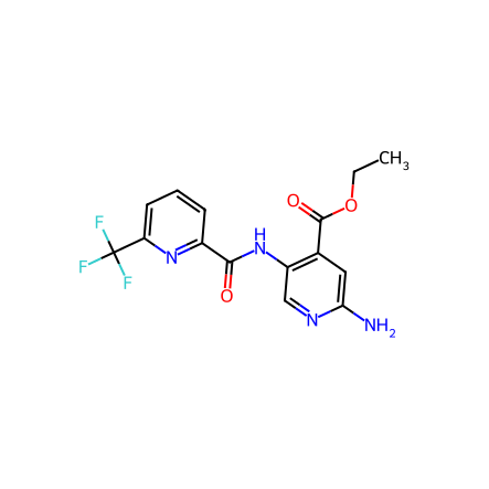 CCOC(=O)c1cc(N)ncc1NC(=O)c1cccc(C(F)(F)F)n1